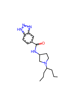 CCCC(CCC)N1CCC(NC(=O)c2ccc3[nH]nnc3c2)C1